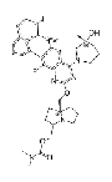 C#Cc1c(F)ccc2cccc(-c3c(F)cc4c(N5CCC[C@@](C)(O)C5)nc(OC[C@@]56CCCN5C(COC(=O)N(C)C)CC6)nc4c3F)c12